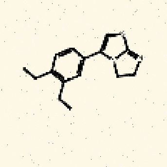 CCc1ccc(C2=CSC3=NCCN23)cc1CC